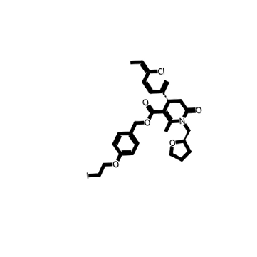 C=C(/C=C\C(Cl)=C/C)[C@@H]1CC(=O)N(C[C@H]2CCCO2)C(C)=C1C(=O)OCc1ccc(OCCI)cc1